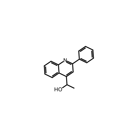 CC(O)c1cc(-c2ccccc2)nc2ccccc12